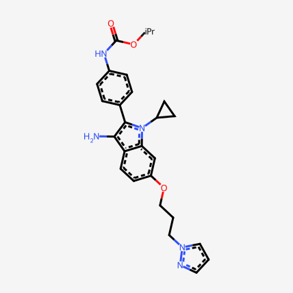 CC(C)OC(=O)Nc1ccc(-c2c(N)c3ccc(OCCCn4cccn4)cc3n2C2CC2)cc1